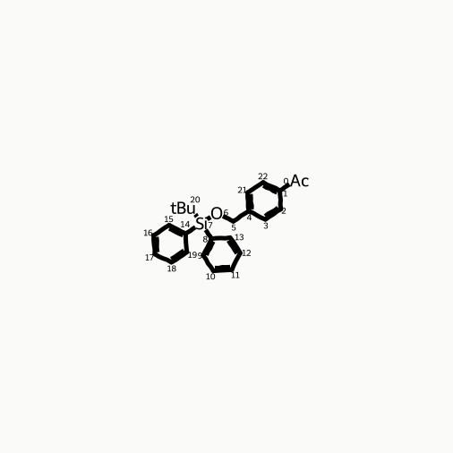 CC(=O)c1ccc(CO[Si](c2ccccc2)(c2ccccc2)C(C)(C)C)cc1